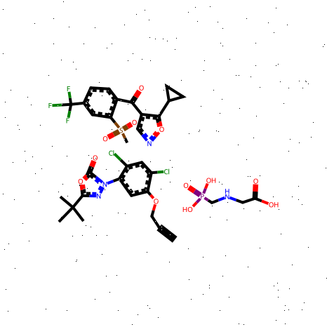 C#CCOc1cc(-n2nc(C(C)(C)C)oc2=O)c(Cl)cc1Cl.CS(=O)(=O)c1cc(C(F)(F)F)ccc1C(=O)c1cnoc1C1CC1.O=C(O)CNCP(=O)(O)O